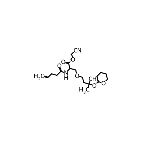 C=CCCC(=O)NC(COCCC(C)(C)OC1CCCCO1)C(=O)OCC#N